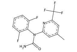 Cc1cc(N(C(N)=O)c2c(F)cccc2F)nc(C(F)(F)F)c1